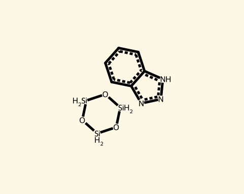 O1[SiH2]O[SiH2]O[SiH2]1.c1ccc2[nH]nnc2c1